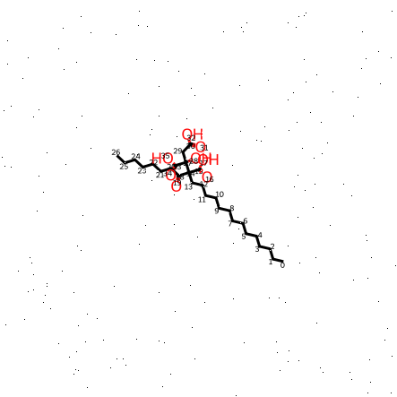 CCCCCCCCCCCCCCC(C(=O)O)(C(=O)CCCCCCC)C(O)(CC(=O)O)C(=O)O